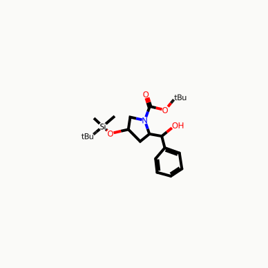 CC(C)(C)OC(=O)N1CC(O[Si](C)(C)C(C)(C)C)CC1C(O)c1ccccc1